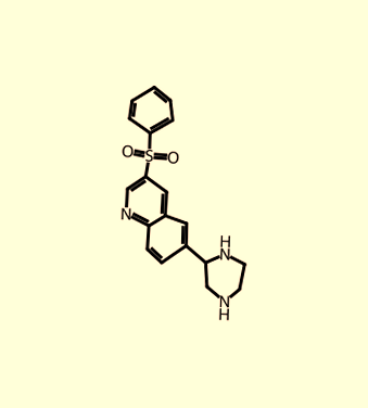 O=S(=O)(c1ccccc1)c1cnc2ccc(C3CNCCN3)cc2c1